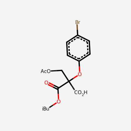 CCC(C)OC(=O)C(COC(C)=O)(Oc1ccc(Br)cc1)C(=O)O